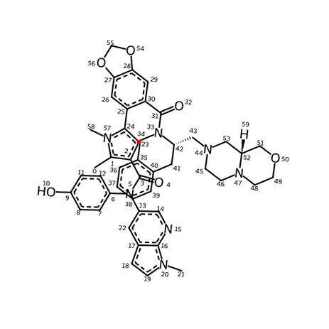 Cc1c(C(=O)N(c2ccc(O)cc2)c2cnc3c(ccn3C)c2)cc(-c2cc3c(cc2C(=O)N2Cc4ccccc4C[C@H]2CN2CCN4CCOC[C@H]4C2)OCO3)n1C